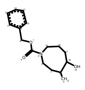 CC1CCN(C(=O)OCc2ccccc2)CCCC1O